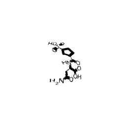 NC(=O)C[C@H](NC(=O)[C@H]1CC[C@@H](S(=O)(=O)O)C1)C(=O)O